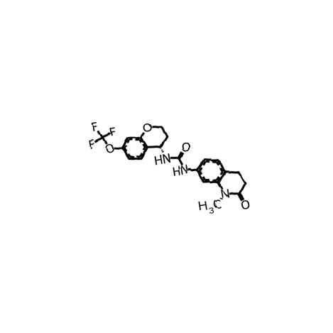 CN1C(=O)CCc2ccc(NC(=O)N[C@H]3CCOc4cc(OC(F)(F)F)ccc43)cc21